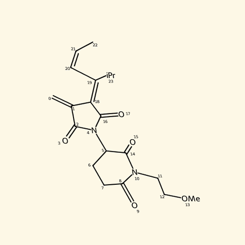 C=C1C(=O)N(C2CCC(=O)N(CCOC)C2=O)C(=O)/C1=C(/C=C\C)C(C)C